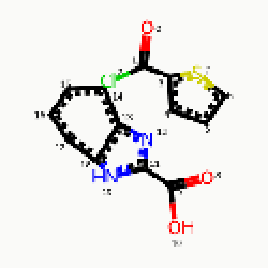 O=C(Cl)c1cccs1.O=C(O)c1nc2ccccc2[nH]1